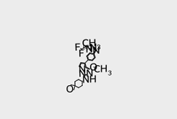 COc1nc(NC2CCC3(CC2)COC3)nn2ccc(-c3ccc4nnn([C@@H](C)C(F)F)c4c3)c12